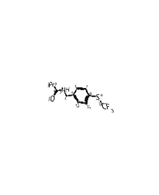 CC(C)C(=O)NCc1ccc(SC(F)(F)F)cc1